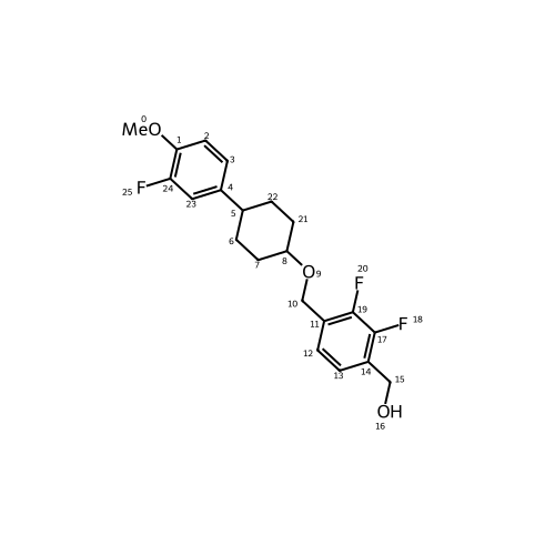 COc1ccc(C2CCC(OCc3ccc(CO)c(F)c3F)CC2)cc1F